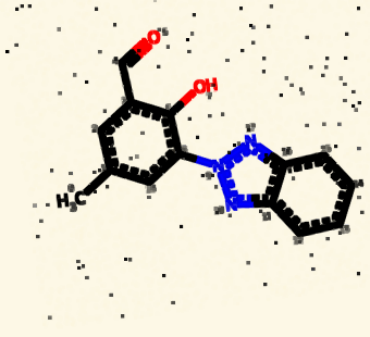 Cc1cc(C=O)c(O)c(-n2nc3ccccc3n2)c1